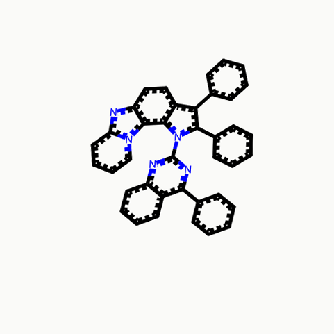 c1ccc(-c2nc(-n3c(-c4ccccc4)c(-c4ccccc4)c4ccc5nc6ccccn6c5c43)nc3ccccc23)cc1